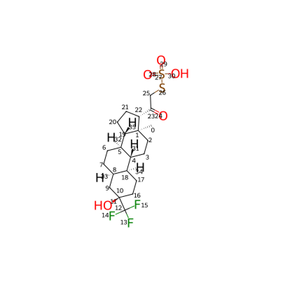 C[C@]12CC[C@H]3[C@@H](CC[C@@H]4C[C@@](O)(C(F)(F)F)CC[C@@H]43)[C@@H]1CC[C@@H]2C(=O)CSS(=O)(=O)O